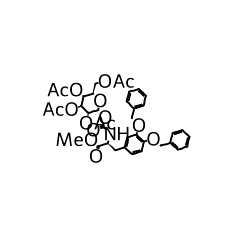 COC(=O)[C@H](Cc1ccc(OCc2ccccc2)c(OCc2ccccc2)c1)NC(=O)OC1O[C@H](COC(C)=O)[C@@H](OC(C)=O)[C@H](OC(C)=O)[C@H]1OC(C)=O